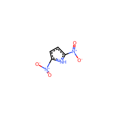 O=[N+]([O-])c1ccc([N+](=O)[O-])[nH]1